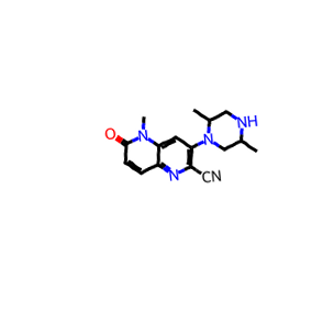 CC1CN(c2cc3c(ccc(=O)n3C)nc2C#N)C(C)CN1